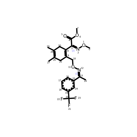 CO/N=C(\C(=O)OC)C1=C(CO/N=C(/C)c2cccc(C(F)(F)F)c2)CC(C)=C(C)C1